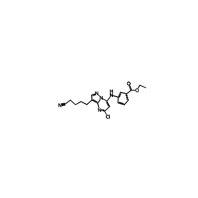 CCOC(=O)c1cccc(Nc2cc(Cl)nc3c(CCCCC#N)cnn23)c1